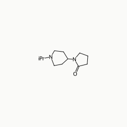 CC(C)N1CCC(N2CCCC2=O)CC1